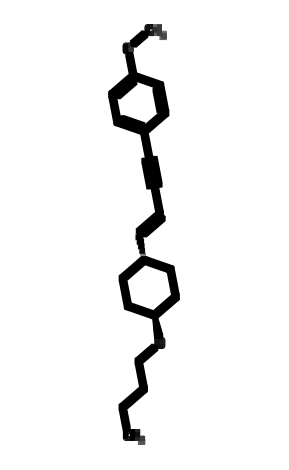 CCCCO[C@H]1CC[C@H](/C=C/C#Cc2ccc(OC)cc2)CC1